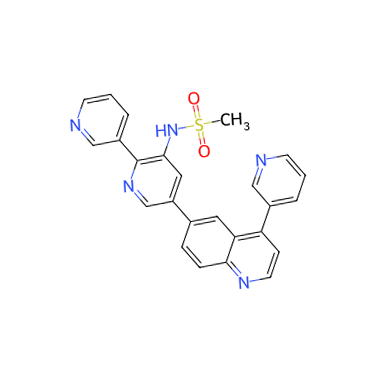 CS(=O)(=O)Nc1cc(-c2ccc3nccc(-c4cccnc4)c3c2)cnc1-c1cccnc1